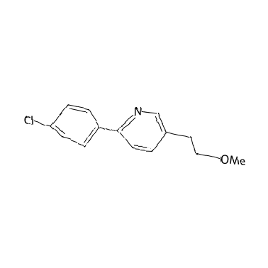 COCCc1ccc(-c2ccc(Cl)cc2)nc1